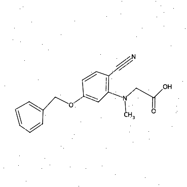 CN(CC(=O)O)c1cc(OCc2ccccc2)ccc1C#N